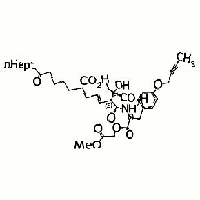 CC#CCOc1ccc(C[C@H](NC(=O)[C@@H](C=CCCCCCCC(=O)CCCCCCC)[C@@](O)(CC(=O)O)C(=O)O)C(=O)OCC(=O)OC)cc1